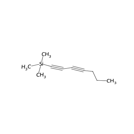 CCCC#CC#C[Si](C)(C)C